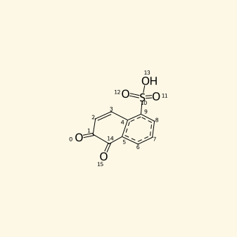 O=C1C=Cc2c(cccc2S(=O)(=O)O)C1=O